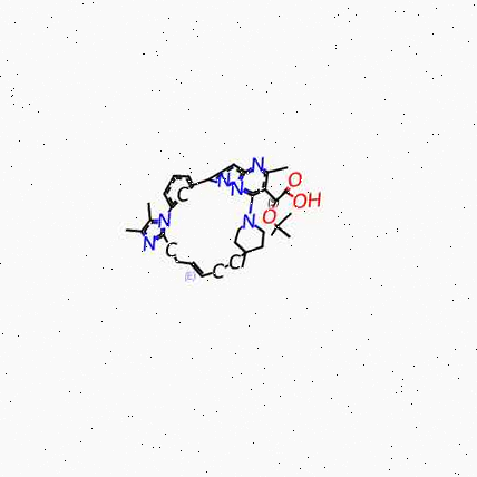 Cc1nc2cc3nn2c(c1[C@H](OC(C)(C)C)C(=O)O)N1CCC(C)(CC/C=C/CCc2nc(C)c(C)n2-c2cccc-3c2)CC1